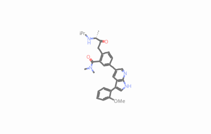 COc1ccccc1-c1c[nH]c2ncc(-c3ccc(CC(=O)[C@@H](C)NC(C)C)c(C(=O)N(C)C)c3)cc12